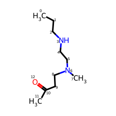 CCCNCCN(C)CCC(C)=O